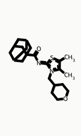 Cc1sc(=NC(=O)C23CC4CC(CC(C4)C2)C3)n(CC2CCOCC2)c1C